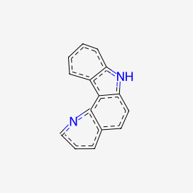 c1cnc2c(c1)ccc1[nH]c3ccccc3c12